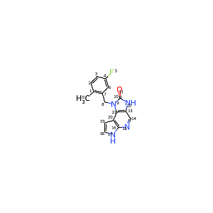 Cc1ccc(F)cc1Cn1c(=O)[nH]c2cnc3[nH]ccc3c21